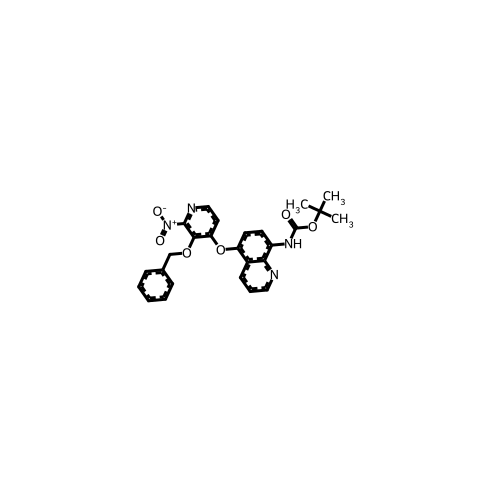 CC(C)(C)OC(=O)Nc1ccc(Oc2ccnc([N+](=O)[O-])c2OCc2ccccc2)c2cccnc12